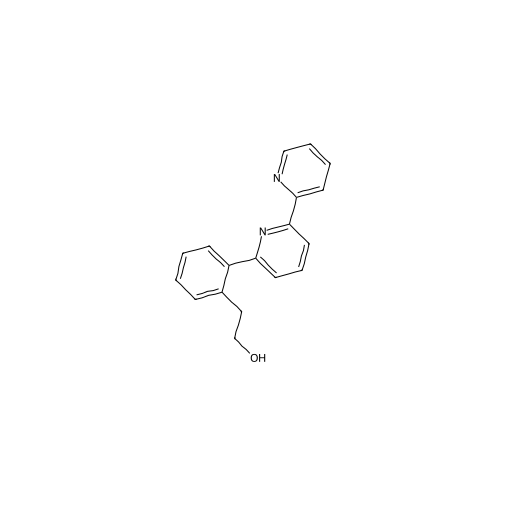 OCCc1ccccc1-c1cccc(-c2ccccn2)n1